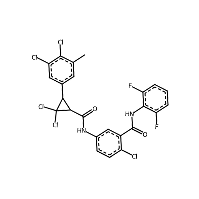 Cc1cc(C2C(C(=O)Nc3ccc(Cl)c(C(=O)Nc4c(F)cccc4F)c3)C2(Cl)Cl)cc(Cl)c1Cl